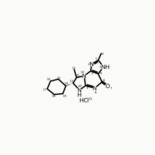 Cc1nc2c([nH]1)c(=O)nc1n2C(C)[C@@H](C2CCCCC2)N1.Cl